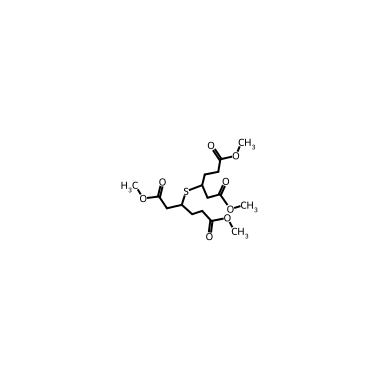 COC(=O)CCC(CC(=O)OC)SC(CCC(=O)OC)CC(=O)OC